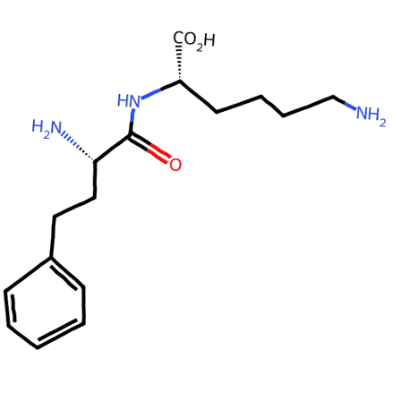 NCCCC[C@H](NC(=O)[C@@H](N)CCc1ccccc1)C(=O)O